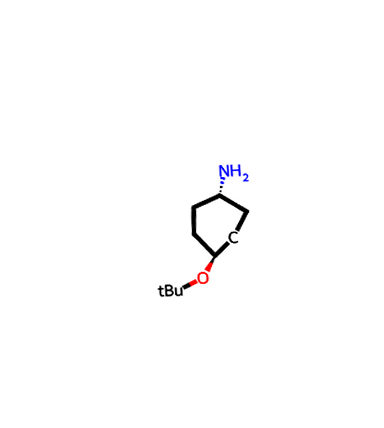 CC(C)(C)O[C@H]1CC[C@H](N)CC1